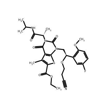 CCOC(=O)c1sc2c(c1C)c(=O)n([C@@H](C)C(=O)NC(C)C)c(=O)n2C[C@H](OCCC#N)c1cc(F)ccc1OC